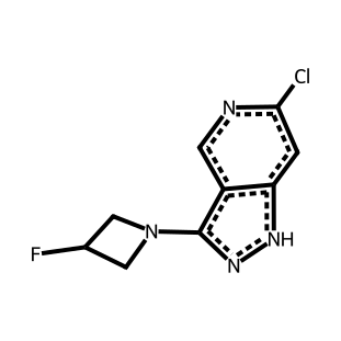 FC1CN(c2n[nH]c3cc(Cl)ncc23)C1